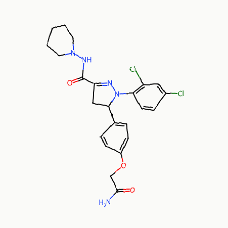 NC(=O)COc1ccc(C2CC(C(=O)NN3CCCCC3)=NN2c2ccc(Cl)cc2Cl)cc1